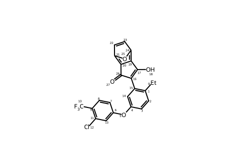 CCc1ccc(Oc2ccc(C(F)(F)F)c(Cl)c2)cc1C1=C(O)c2c(c3ccc2o3)C1=O